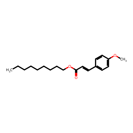 CCCCCCCCCOC(=O)C=Cc1ccc(OC)cc1